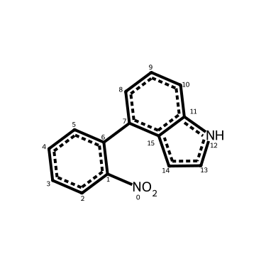 O=[N+]([O-])c1ccccc1-c1cccc2[nH]ccc12